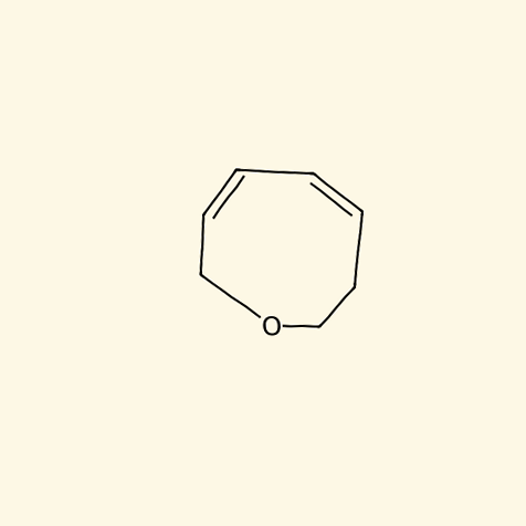 C1=C\CCOC\C=C/1